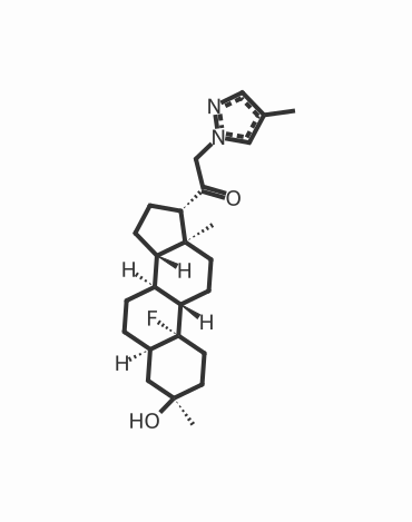 Cc1cnn(CC(=O)[C@H]2CC[C@H]3[C@@H]4CC[C@@H]5C[C@](C)(O)CC[C@]5(F)[C@H]4CC[C@]23C)c1